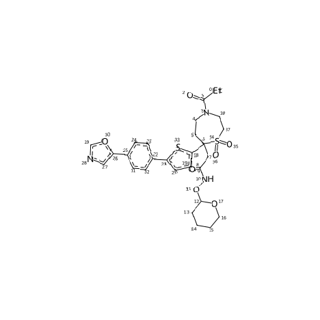 CCC(=O)N1CCC(CC(=O)NOC2CCCCO2)(c2ccc(-c3ccc(-c4cnco4)cc3)s2)S(=O)(=O)CC1